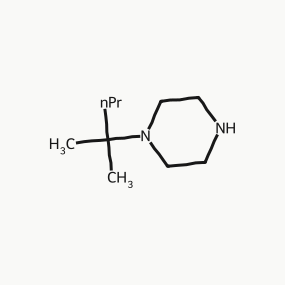 CCCC(C)(C)N1CCNCC1